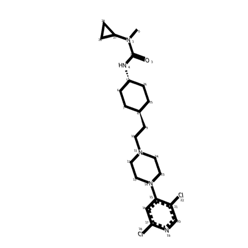 CN(C(=O)N[C@H]1CC[C@H](CCN2CCN(c3cc(Cl)ncc3Cl)CC2)CC1)C1CC1